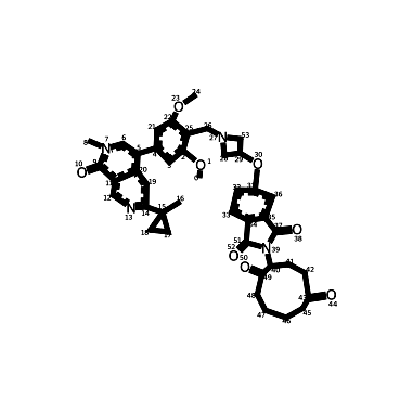 COc1cc(-c2cn(C)c(=O)c3cnc(C4(C)CC4)cc23)cc(OC)c1CN1CC(Oc2ccc3c(c2)C(=O)N(C2CCC(=O)CCCCC2=O)C3=O)C1